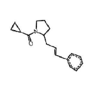 O=C(C1CC1)N1CCCC1C/C=C/c1ccccc1